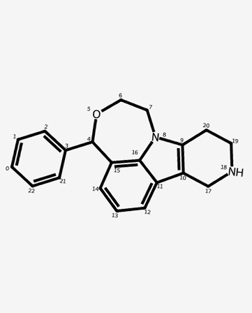 c1ccc(C2OCCn3c4c(c5cccc2c53)CNCC4)cc1